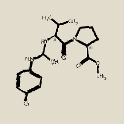 COC(=O)[C@@H]1CCCN1C(=O)[C@@H](NC(O)Nc1ccc(Cl)cc1)C(C)C